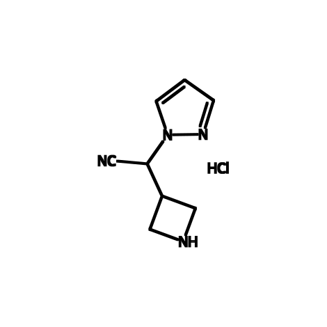 Cl.N#CC(C1CNC1)n1cccn1